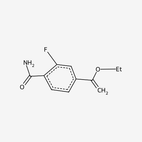 C=C(OCC)c1ccc(C(N)=O)c(F)c1